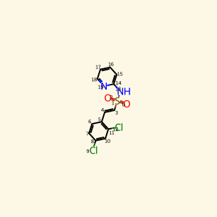 O=S(=O)(/C=C/c1ccc(Cl)cc1Cl)Nc1ccccn1